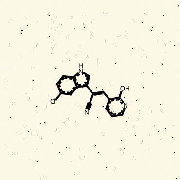 N#CC(=Cc1cccnc1O)c1c[nH]c2ccc(Cl)cc12